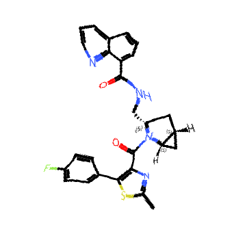 Cc1nc(C(=O)N2[C@H](CNC(=O)c3cccc4cccnc34)C[C@@H]3C[C@@H]32)c(-c2ccc(F)cc2)s1